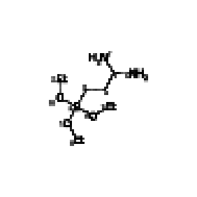 CCO[Si](CCC(N)N)(OCC)OCC